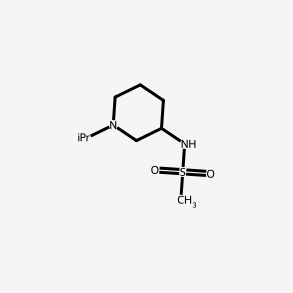 CC(C)N1CCCC(NS(C)(=O)=O)C1